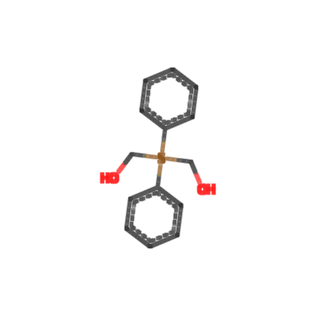 OCS(CO)(c1ccccc1)c1ccccc1